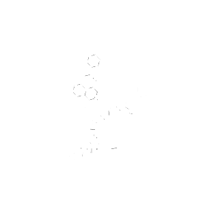 CC[C@@H]1C[C@H](C)CC/C=C\C2C[C@@]2(C(=O)NS(=O)(=O)C2(C)CC2)NC(=O)[C@@H]2C[C@@H](Oc3ncc(N(CC)C(=O)c4ccccc4)c4cc(OC)ccc34)CN2C(=O)[C@H]1NC(=O)OC(C)(C)C(F)(F)F